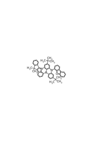 CC(C)(C)c1ccc2c(c1)N(c1cccc3c1oc1ccccc13)c1cc(C(C)(C)C)cc3c1B2c1cccc2c4c(n-3c12)-c1ccccc1C4(C)C